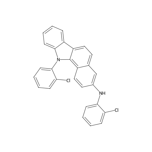 Clc1ccccc1Nc1ccc2c(ccc3c4ccccc4n(-c4ccccc4Cl)c23)c1